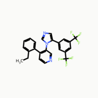 CCc1ccccc1-c1ccncc1-n1cncc1-c1cc(C(F)(F)F)cc(C(F)(F)F)c1